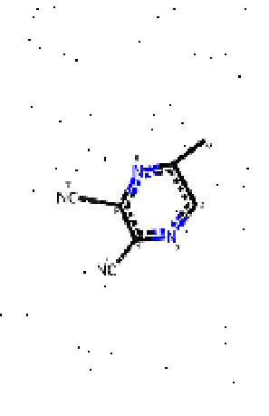 Cc1cnc(C#N)c(C#N)n1